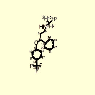 [2H]C([2H])([2H])NCC[C@H](Oc1ccc(C(F)(F)F)cc1)c1ccccc1